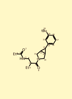 CCC(=O)NCC(CC)C(=O)N1CC2C(C1)C2c1cccc(C(C)(C)C)c1